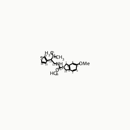 COc1ccc2c(c1)CN(C(=O)NCC(c1ccsc1)N(C)C)C2.Cl